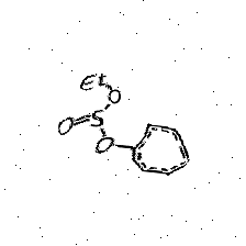 CCOS(=O)Oc1ccccc1